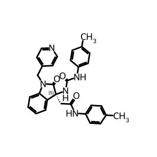 Cc1ccc(NC(=O)C[C@@]2(NC(=O)Nc3ccc(C)cc3)C(=O)N(Cc3ccncc3)c3ccccc32)cc1